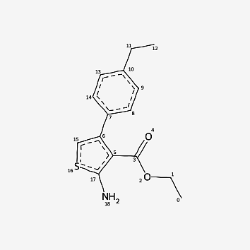 CCOC(=O)c1c(-c2ccc(CC)cc2)csc1N